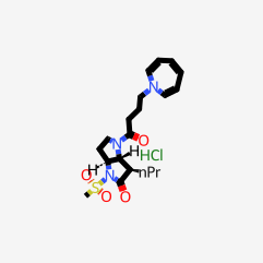 CCC[C@H]1C(=O)N(S(C)(=O)=O)[C@H]2CCN(C(=O)CCCN3C=CC=CC=C3)[C@H]12.Cl